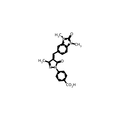 CC1=NN(c2ccc(C(=O)O)cc2)C(=O)/C1=C\c1ccc2c(c1)n(C)c(=O)n2C